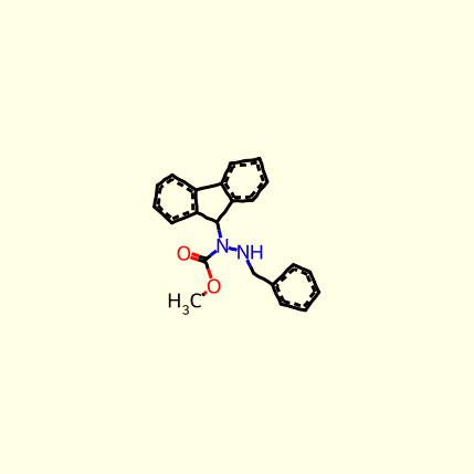 COC(=O)N(NCc1ccccc1)C1c2ccccc2-c2ccccc21